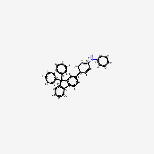 C1=CC(c2ccc3c(c2)C(c2ccccc2)(c2ccccc2)c2ccccc2-3)CC=C1Nc1ccccc1